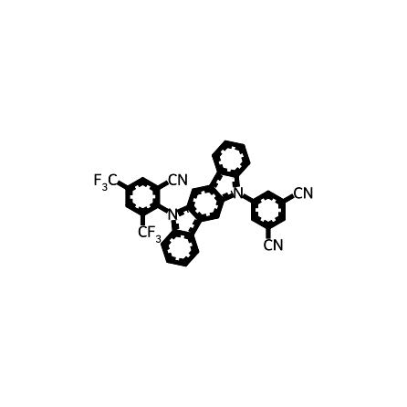 N#Cc1cc(C#N)cc(-n2c3ccccc3c3cc4c(cc32)c2ccccc2n4-c2c(C#N)cc(C(F)(F)F)cc2C(F)(F)F)c1